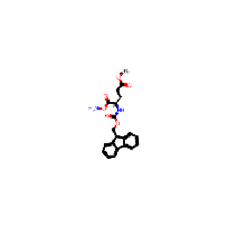 CC(C)(C)OC(=O)CC[C@@H](NC(=O)OCC1c2ccccc2-c2ccccc21)C(=O)ON